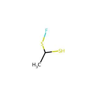 CC(S)SF